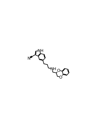 N#Cc1c[nH]c2ccc(CCCNCC3COc4ccccc4O3)cc12